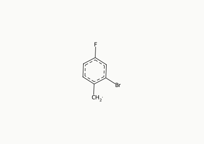 [CH2]c1ccc(F)cc1Br